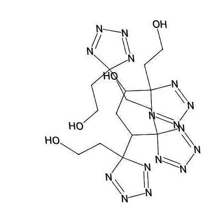 OCCC1(C(CC(C2(CCO)N=NN=N2)C2(CCO)N=NN=N2)C2(CCO)N=NN=N2)N=NN=N1